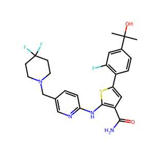 CC(C)(O)c1ccc(-c2cc(C(N)=O)c(Nc3ccc(CN4CCC(F)(F)CC4)cn3)s2)c(F)c1